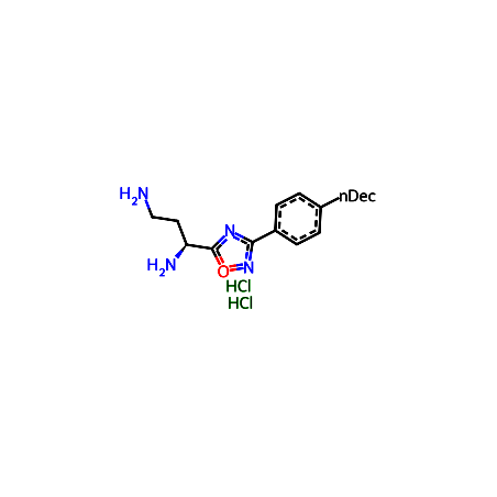 CCCCCCCCCCc1ccc(-c2noc([C@@H](N)CCN)n2)cc1.Cl.Cl